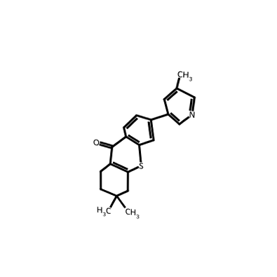 Cc1cncc(-c2ccc3c(=O)c4c(sc3c2)CC(C)(C)CC4)c1